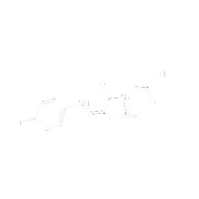 O=C(O)CN1C(=O)C(=CNc2ccc(Br)cc2)SC1=S